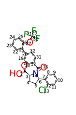 O=C(O)[C@@H]1CC[C@H](c2ccccc2Cl)N1C(=O)c1ccc(-c2ccccc2OC(F)(F)F)cc1